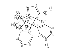 CC(C)(C)C1=CC=C[C]1([Ti+3])C(c1ccccc1)(c1ccccc1)C(C)(C)C.[Cl-].[Cl-].[Cl-]